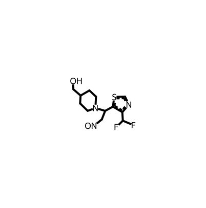 O=NCC(c1scnc1C(F)F)N1CCC(CO)CC1